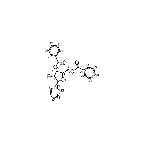 O=C(OC[C@H]1O[C@@H](N2C=CC=NC2)[C@@H](F)[C@@H]1OC(=O)c1ccccc1)c1ccccc1